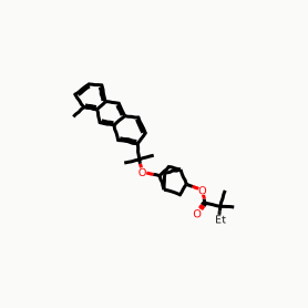 CCC(C)(C)C(=O)OC1CC2CC1CC2OC(C)(C)c1ccc2cc3cccc(C)c3cc2c1